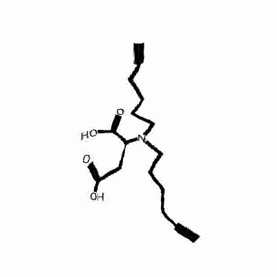 C#CCCCCN(CCCCC#C)[C@@H](CC(=O)O)C(=O)O